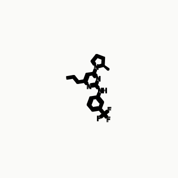 CCCc1cc(N2CCC[C@H]2C)nc(Nc2cccc(C(F)(F)F)c2)n1